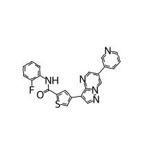 O=C(Nc1ccccc1F)c1cc(-c2cnn3cc(-c4cccnc4)cnc23)cs1